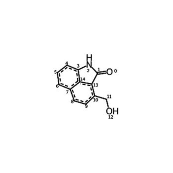 O=C1Nc2cccc3ccc(CO)c1c23